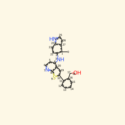 Cc1c(Nc2ccnc3sc(-c4ccccc4CO)cc23)ccc2[nH]ccc12